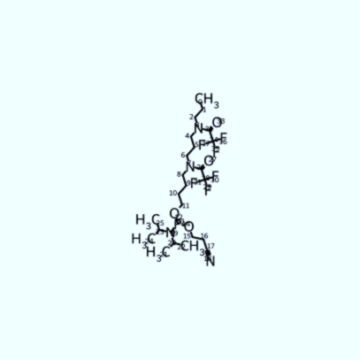 CCCN(CCCN(CCCCOP(OCCC#N)N(C(C)C)C(C)C)C(=O)C(F)(F)F)C(=O)C(F)(F)F